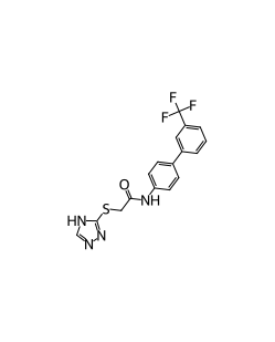 O=C(CSc1nnc[nH]1)Nc1ccc(-c2cccc(C(F)(F)F)c2)cc1